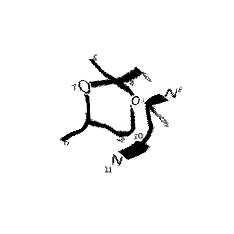 CC1COC(C)(C)O1.N#CC#N